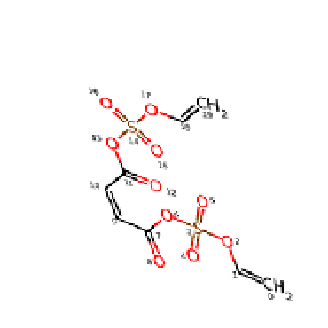 C=COS(=O)(=O)OC(=O)/C=C\C(=O)OS(=O)(=O)OC=C